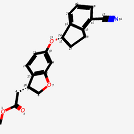 COC(=O)C[C@H]1COc2cc(O[C@H]3CCc4c(C#N)cccc43)ccc21